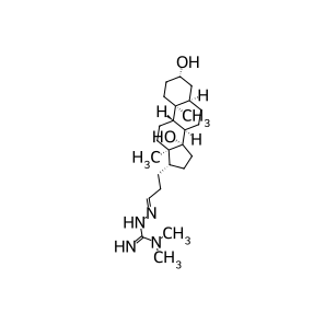 CN(C)C(=N)N/N=C/CC[C@H]1CC[C@]2(O)[C@@H]3CC[C@@H]4C[C@@H](O)CC[C@]4(C)[C@H]3CC[C@]12C